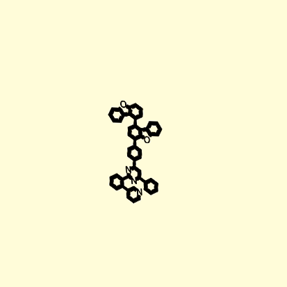 c1ccc(-c2cc(-c3ccc(-c4ccc(-c5cccc6oc7ccccc7c56)c5c4oc4ccccc45)cc3)nc(-c3ccccc3-c3cccnc3)n2)cc1